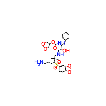 CC(C)(CNC[C@@H](O)[C@H](Cc1ccccc1)NC(=O)OC1COCOC1)C(CCCN)S(=O)(=O)c1ccc2c(c1)OCO2